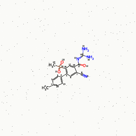 Cc1ccc(-c2cc(C#N)c(C(=O)N=C(N)N)cc2S(C)(=O)=O)cc1